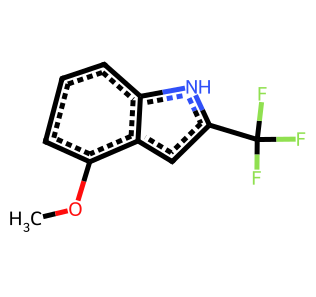 COc1cccc2[nH]c(C(F)(F)F)cc12